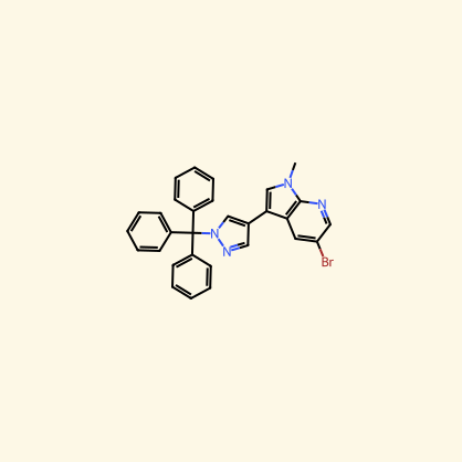 Cn1cc(-c2cnn(C(c3ccccc3)(c3ccccc3)c3ccccc3)c2)c2cc(Br)cnc21